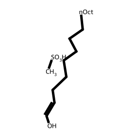 CCCCCCCCCCCCCCC=CO.CS(=O)(=O)O